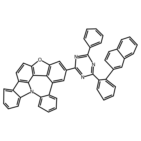 c1ccc(-c2nc(-c3cc4oc5ccc6c7ccccc7n7c8ccccc8c(c3)c4c5c67)nc(-c3ccccc3-c3ccc4ccccc4c3)n2)cc1